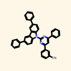 N#Cc1cccc(-c2cc(-c3ccccc3)nc(-n3c4ccc(-c5ccccc5)cc4c4cc(-c5ccccc5)ccc43)n2)c1